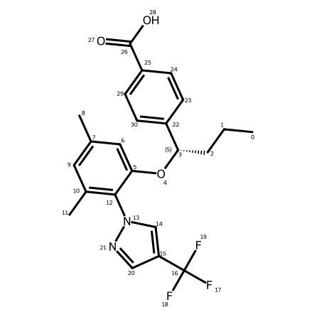 CCC[C@H](Oc1cc(C)cc(C)c1-n1cc(C(F)(F)F)cn1)c1ccc(C(=O)O)cc1